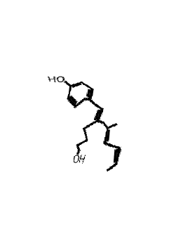 C\C=C/C=C(C)/C(=C/c1ccc(O)cc1)CCCO